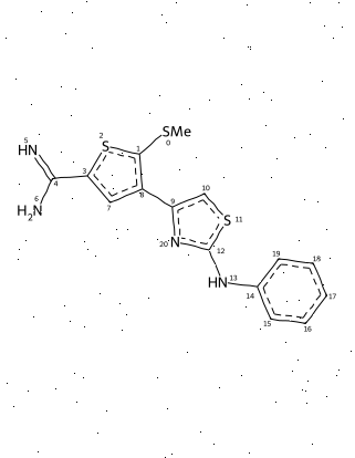 CSc1sc(C(=N)N)cc1-c1csc(Nc2ccccc2)n1